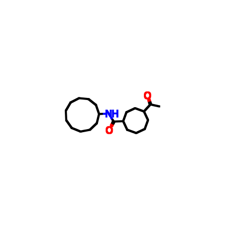 CC(=O)C1CCCCC(C(=O)NC2CCCCCCCCCC2)CC1